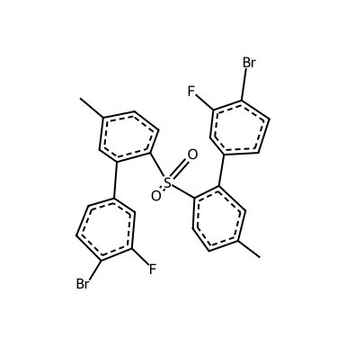 Cc1ccc(S(=O)(=O)c2ccc(C)cc2-c2ccc(Br)c(F)c2)c(-c2ccc(Br)c(F)c2)c1